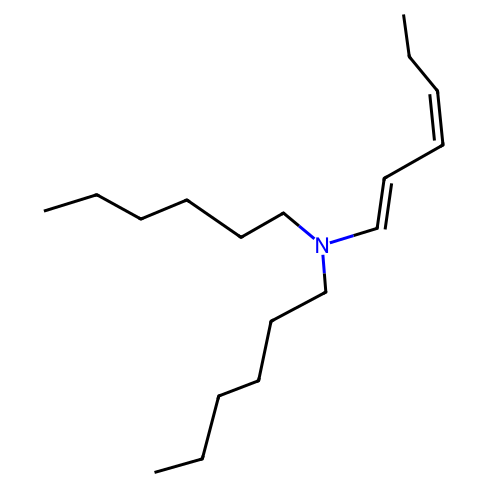 CC/C=C\C=C\N(CCCCCC)CCCCCC